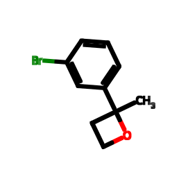 CC1(c2cccc(Br)c2)CCO1